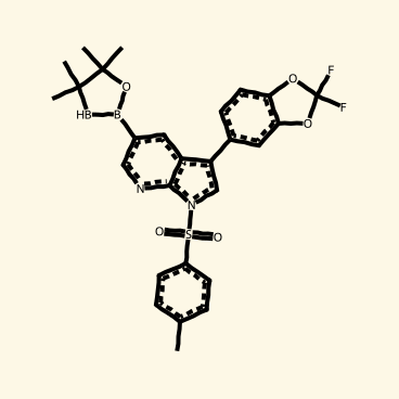 Cc1ccc(S(=O)(=O)n2cc(-c3ccc4c(c3)OC(F)(F)O4)c3cc(B4BC(C)(C)C(C)(C)O4)cnc32)cc1